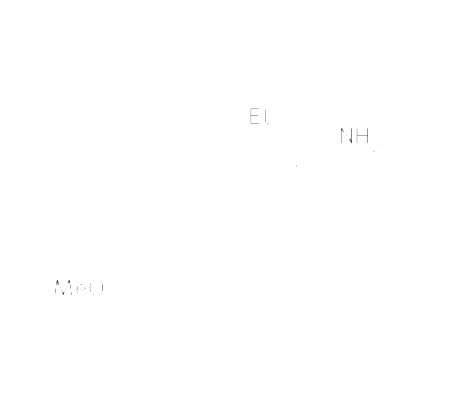 C=CCC(N)(CC)c1ccc(OC)cc1